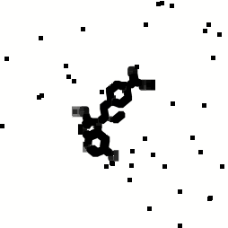 CC[C@@H](CN1CCN(C(=O)O)CC1)n1c(O)nc2ncc(Cl)cc21